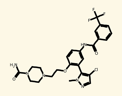 Cn1ncc(Cl)c1-c1cc(NC(=O)c2cccc(C(F)(F)F)c2)ccc1OCCN1CCN(C(N)=O)CC1